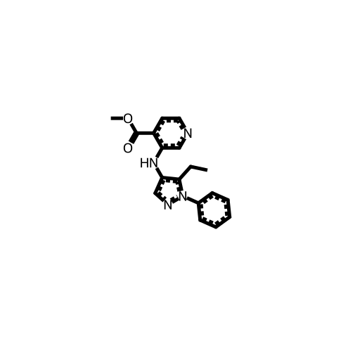 CCc1c(Nc2cnccc2C(=O)OC)cnn1-c1ccccc1